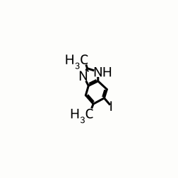 Cc1nc2cc(C)c(I)cc2[nH]1